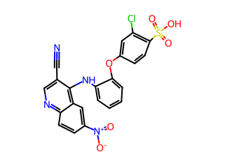 N#Cc1cnc2ccc([N+](=O)[O-])cc2c1Nc1ccccc1Oc1ccc(S(=O)(=O)O)c(Cl)c1